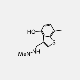 CNNCc1csc2c(C)ccc(O)c12